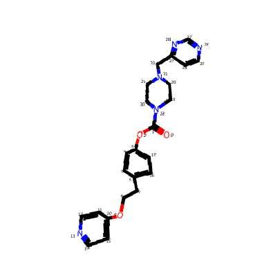 O=C(Oc1ccc(CCOc2ccncc2)cc1)N1CCN(Cc2ccncn2)CC1